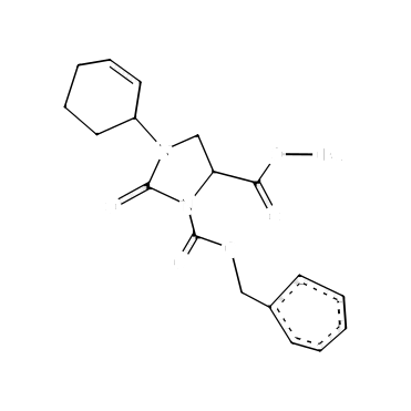 CC(C)(C)OC(=O)C1CN(C2C=CCCC2)C(=O)N1C(=O)OCc1ccccc1